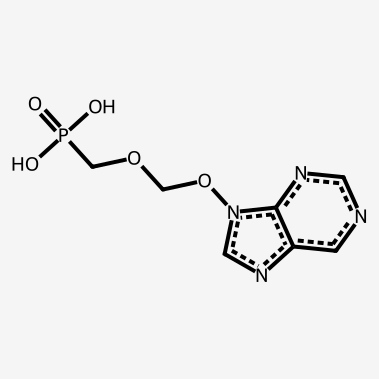 O=P(O)(O)COCOn1cnc2cncnc21